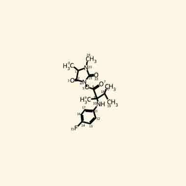 CC1C(=O)N(OC(=O)C(C)(Nc2ccc(F)cc2)C(C)C)C(=O)N1C